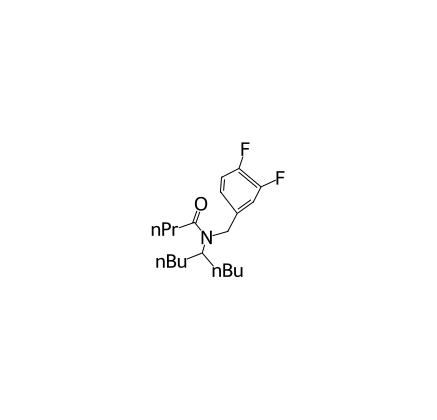 CCCCC(CCCC)N(Cc1ccc(F)c(F)c1)C(=O)CCC